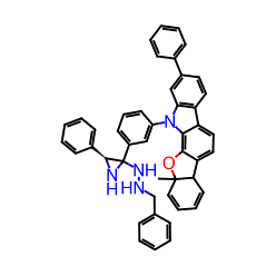 CC12C=CC=CC1c1ccc3c4ccc(-c5ccccc5)cc4n(-c4cccc(C5(NNCc6ccccc6)N[C@H]5c5ccccc5)c4)c3c1O2